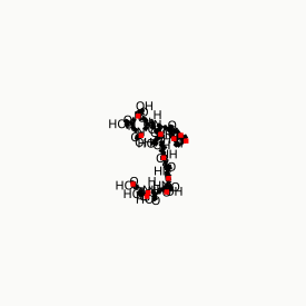 CC(C)(C)[Si](F)(c1ccc(C(=O)NC[C@@H](NC(=O)CN2CCN(CC(=O)O)CCN(CC(=O)O)CCN(CC(=O)O)CC2)C(=O)N[C@H](CCCCNC(=O)CCC(=O)NCCC[C@@H](NC(=O)CC[C@H](NC(=S)N[C@@H](CCC(=O)O)C(=O)O)C(=O)O)C(=O)O)CC(O)O)cc1)C(C)(C)C